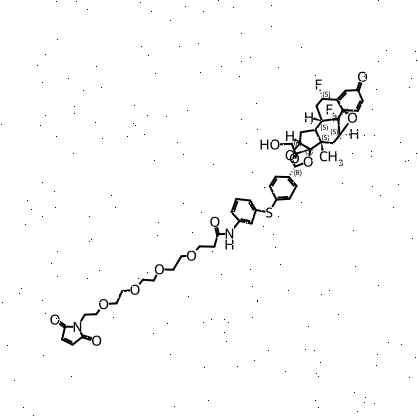 C[C@]12C[C@@H]3O[C@]45C=CC(=O)C=C4[C@@H](F)C[C@@H](C1C[C@H]1O[C@@H](c4ccc(Sc6cccc(NC(=O)CCOCCOCCOCCOCCN7C(=O)C=CC7=O)c6)cc4)O[C@]12C(=O)CO)[C@]35F